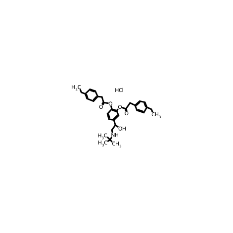 CCc1ccc(CC(=O)Oc2ccc(C(O)CNC(C)(C)C)cc2OC(=O)Cc2ccc(CC)cc2)cc1.Cl